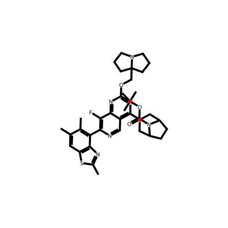 Cc1nc2c(-c3ncc4c(N5CC6CCC(C5)N6C(=O)OC(C)(C)C)nc(OCC56CCCN5CCC6)nc4c3F)c(C)c(C)cc2s1